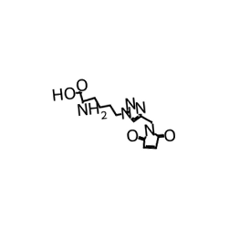 NC(CCCCn1cc(CN2C(=O)C=CC2=O)nn1)C(=O)O